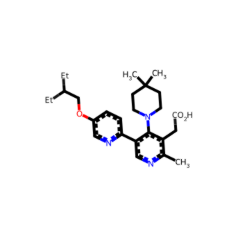 CCC(CC)COc1ccc(-c2cnc(C)c(CC(=O)O)c2N2CCC(C)(C)CC2)nc1